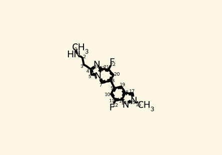 CNCCc1cn2cc(-c3cc(F)c4nn(C)cc4c3)cc(F)c2n1